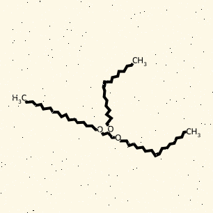 CCCCCCCC/C=C\CCCCCCCCOCC(COCCCCCCCCCCCCCCCCCC)OCCCCCCCC/C=C\CCCCCCCC